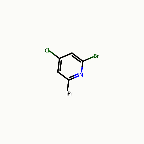 CC(C)c1cc(Cl)cc(Br)n1